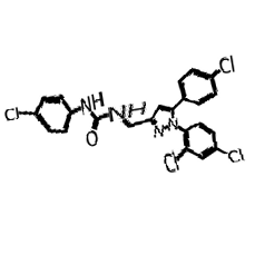 O=C(NCc1cc(-c2ccc(Cl)cc2)n(-c2ccc(Cl)cc2Cl)n1)Nc1ccc(Cl)cc1